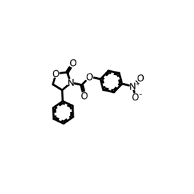 O=C1OCC(c2ccccc2)N1C(=O)Oc1ccc([N+](=O)[O-])cc1